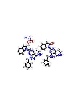 NC(=O)OCc1cc2ccccc2n1-c1nc2c(c(NCc3ccccc3)n1)CNCC2.O=C1Cc2ccccc2N1c1nc2c(c(NCc3ccccc3)n1)CNCC2